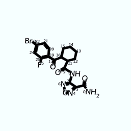 NC(=O)c1nonc1NC(=O)C1CCCCC1C(=O)c1ccc(Br)cc1F